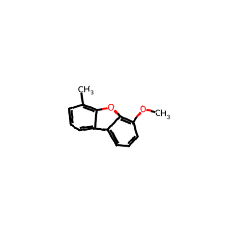 COc1cccc2c1oc1c(C)cccc12